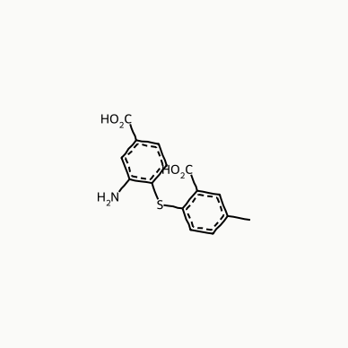 Cc1ccc(Sc2ccc(C(=O)O)cc2N)c(C(=O)O)c1